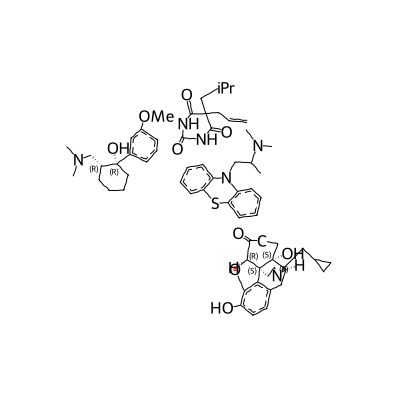 C=CCC1(CC(C)C)C(=O)NC(=O)NC1=O.CC(CN1c2ccccc2Sc2ccccc21)N(C)C.COc1cccc([C@@]2(O)CCCC[C@@H]2CN(C)C)c1.O=C1CC[C@@]2(O)[C@H]3Cc4ccc(O)c5c4[C@@]2(CCN3CC2CC2)[C@H]1O5